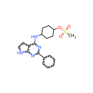 CS(=O)(=O)OC1CCC(Nc2nc(-c3ccccc3)nc3[nH]ccc23)CC1